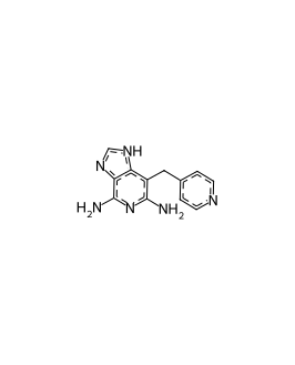 Nc1nc(N)c2nc[nH]c2c1Cc1ccncc1